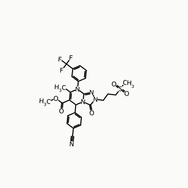 COC(=O)C1=C(C)N(c2cccc(C(F)(F)F)c2)c2nn(CCCS(C)(=O)=O)c(=O)n2C1c1ccc(C#N)cc1